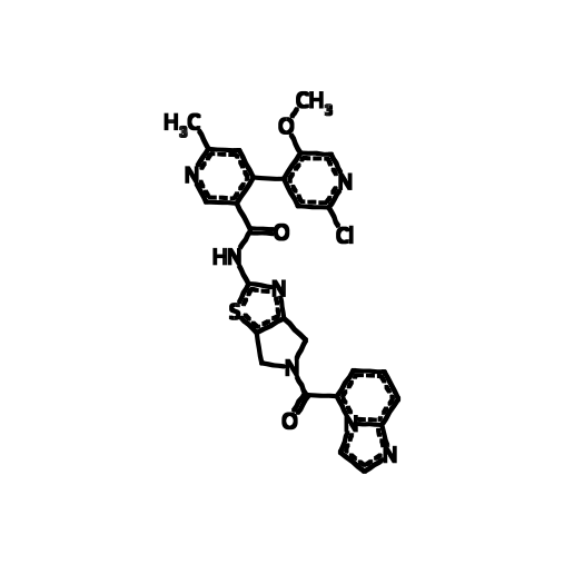 COc1cnc(Cl)cc1-c1cc(C)ncc1C(=O)Nc1nc2c(s1)CN(C(=O)c1cccc3nccn13)C2